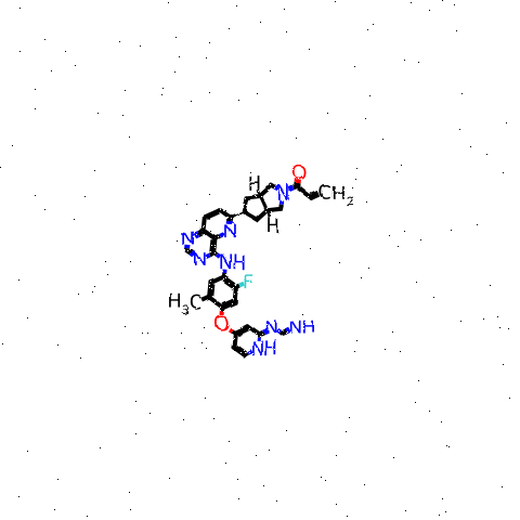 C=CC(=O)N1C[C@H]2C[C@H](c3ccc4ncnc(Nc5cc(C)c(Oc6cc[nH]/c(=N\C=N)c6)cc5F)c4n3)C[C@H]2C1